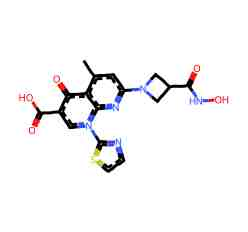 Cc1cc(N2CC(C(=O)NO)C2)nc2c1c(=O)c(C(=O)O)cn2-c1nccs1